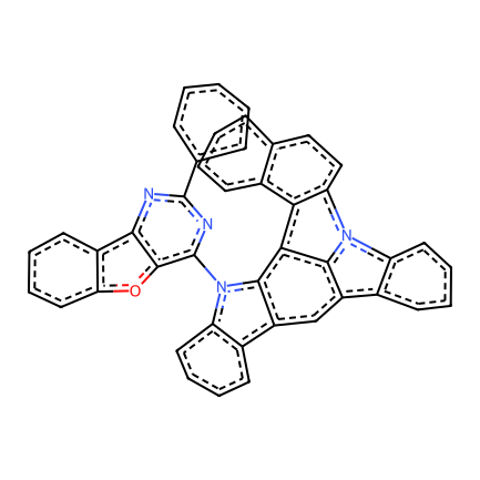 c1ccc(-c2nc(-n3c4ccccc4c4cc5c6ccccc6n6c7ccc8ccccc8c7c(c43)c56)c3oc4ccccc4c3n2)cc1